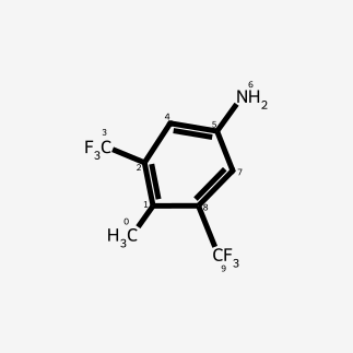 Cc1c(C(F)(F)F)cc(N)cc1C(F)(F)F